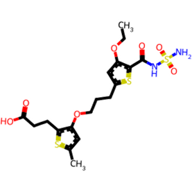 CCOc1cc(CCCOc2cc(C)sc2CCC(=O)O)sc1C(=O)NS(N)(=O)=O